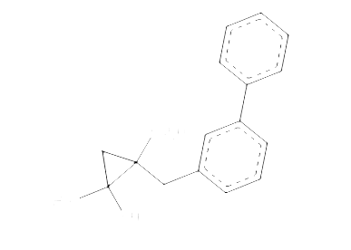 CC1(C)CC1(Cc1cccc(-c2ccccc2)c1)C(=O)O